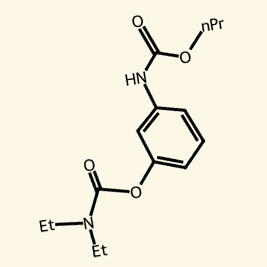 CCCOC(=O)Nc1cccc(OC(=O)N(CC)CC)c1